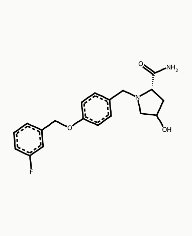 NC(=O)[C@@H]1CC(O)CN1Cc1ccc(OCc2cccc(F)c2)cc1